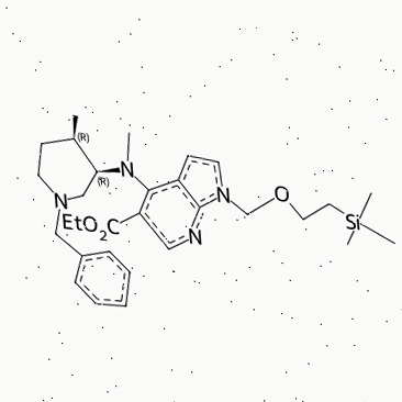 CCOC(=O)c1cnc2c(ccn2COCC[Si](C)(C)C)c1N(C)[C@H]1CN(Cc2ccccc2)CC[C@H]1C